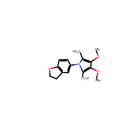 CCCCOc1c(OCCCC)c(C(=O)O)n(-c2ccc3c(c2)CCO3)c1C(=O)O